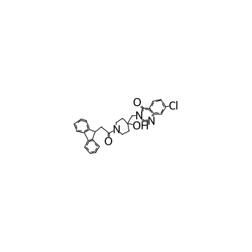 O=C(CC1c2ccccc2-c2ccccc21)N1CCC(O)(Cn2cnc3cc(Cl)ccc3c2=O)CC1